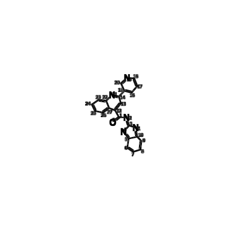 O=C(N=C1N=c2ccccc2=N1)c1cc(-c2cccnc2)nc2ccccc12